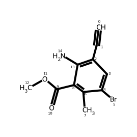 C#Cc1cc(Br)c(C)c(C(=O)OC)c1N